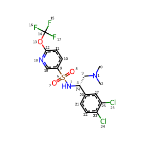 CN(C)C[C@@H](NS(=O)(=O)c1ccc(OC(F)(F)F)nc1)c1ccc(Cl)c(Cl)c1